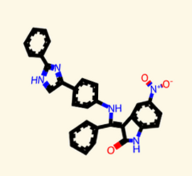 O=C1Nc2ccc([N+](=O)[O-])cc2C1=C(Nc1ccc(-c2c[nH]c(-c3ccccc3)n2)cc1)c1ccccc1